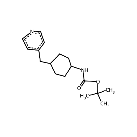 CC(C)(C)OC(=O)NC1CCC(Cc2ccncc2)CC1